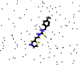 CC(C)(C)c1ccc(CNC(=S)NCCC2CNCCS2)cc1